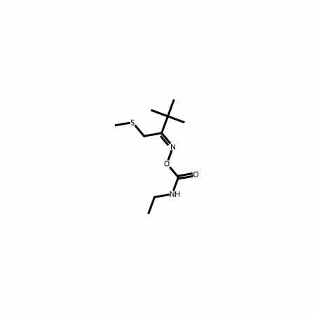 CCNC(=O)ON=C(CSC)C(C)(C)C